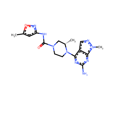 Cc1cc(NC(=O)N2CCN(c3nc(N)nc4c3cnn4C)[C@@H](C)C2)no1